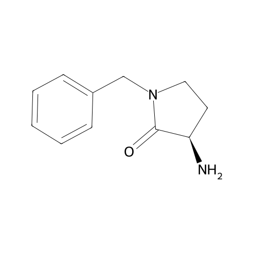 N[C@@H]1CCN(Cc2ccccc2)C1=O